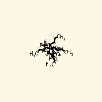 CCCCP(CCCC)(CCCC)(CCCC)C(F)(OC(F)(F)F)C(F)(F)S(=O)(=O)O